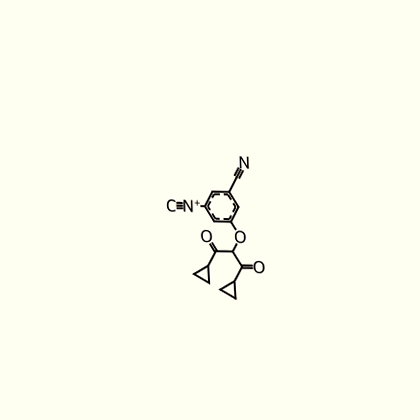 [C-]#[N+]c1cc(C#N)cc(OC(C(=O)C2CC2)C(=O)C2CC2)c1